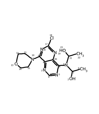 CC(O)N(c1ncnc2c(N3CCOCC3)nc(Cl)nc12)C(C)O